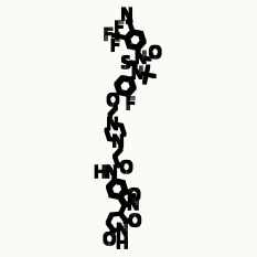 CC(C)(C)N(C(=S)N(C=O)c1ccc(C#N)c(C(F)(F)F)c1)c1ccc(OCCN2CCN(CCC(=O)Nc3ccc4c(C5CCC(=O)NC5=O)noc4c3)CC2)c(F)c1